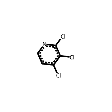 Clc1ccnc(Cl)c1Cl